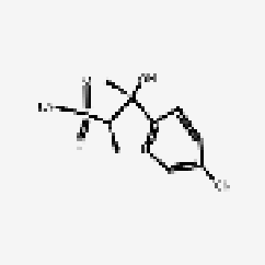 C[C@H]([C@](C)(O)c1ccc(C#N)cn1)S(N)(=O)=O